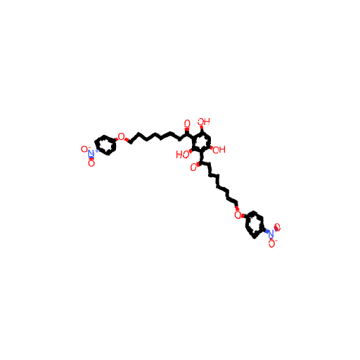 O=C(CCCCCCCOc1ccc([N+](=O)[O-])cc1)c1c(O)cc(O)c(C(=O)CCCCCCCOc2ccc([N+](=O)[O-])cc2)c1O